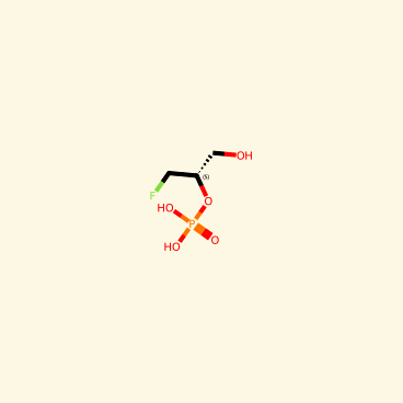 O=P(O)(O)O[C@@H](CO)CF